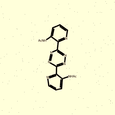 CC(=O)Nc1cccnc1-c1nnc(-c2ncccc2NC(C)=O)nn1